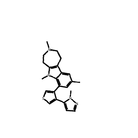 Cc1cc(-c2cscc2-c2ccnn2C)c2c(c1)c1c(n2C)CCN(C)CC1